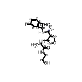 C[C@H](Nc1nonc1/C(=N/O)NC1Cc2ccc(F)cc21)C(=O)NCCO